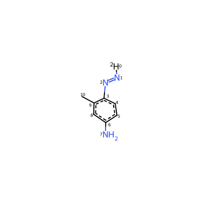 [2H]N=Nc1ccc(N)cc1C